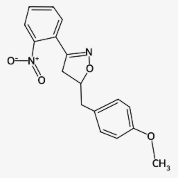 COc1ccc(CC2CC(c3ccccc3[N+](=O)[O-])=NO2)cc1